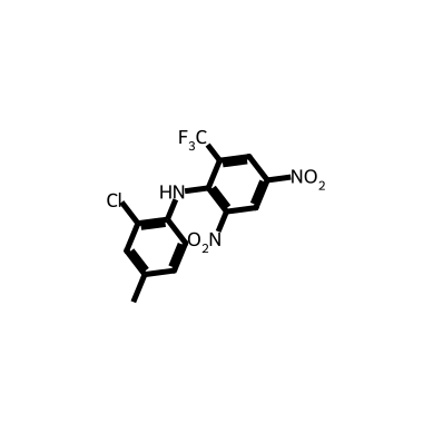 Cc1ccc(Nc2c([N+](=O)[O-])cc([N+](=O)[O-])cc2C(F)(F)F)c(Cl)c1